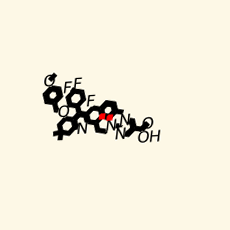 COc1ccc(COC2CC(C)(C)Cc3nc(C4CCN(c5ncc(C(=O)O)cn5)CC4)c(C(F)c4ccc(C)cc4)c(C4CCC(F)(F)CC4)c32)cc1